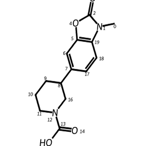 Cn1c(=O)oc2cc(C3CCCN(C(=O)O)C3)ccc21